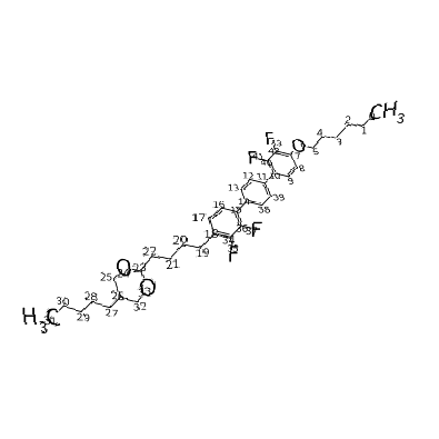 CCCCCCOc1ccc(-c2ccc(-c3ccc(CCCCC4OCC(CCCCC)CO4)c(F)c3F)cc2)c(F)c1F